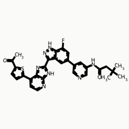 CC(=O)c1ccc(-c2ccnc3[nH]c(-c4n[nH]c5c(F)cc(-c6cncc(NC(=O)CC(C)(C)C)c6)cc45)nc23)s1